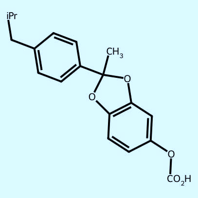 CC(C)Cc1ccc(C2(C)Oc3ccc(OC(=O)O)cc3O2)cc1